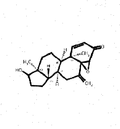 C=C1C[C@@H]2[C@@H](CC[C@]3(C)C(O)CC[C@@H]23)[C@@]2(C)C=CC(=O)C3OC132